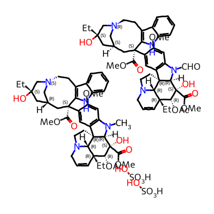 CC[C@]1(O)C[C@@H]2C[N@@](CCc3c([nH]c4ccccc34)[C@@](C(=O)OC)(c3cc4c(cc3OC)N(C)[C@H]3[C@@](O)(C(=O)OC)[C@H](OC(C)=O)[C@]5(CC)C=CCN6CC[C@]43[C@@H]65)C2)C1.CC[C@]1(O)C[C@H]2C[N@](CCc3c([nH]c4ccccc34)[C@@](C(=O)OC)(c3cc4c(cc3OC)N(C=O)[C@H]3[C@@](O)(C(=O)OC)[C@H](OC(C)=O)[C@]5(CC)C=CCN6CC[C@]43[C@@H]65)C2)C1.O=S(=O)(O)O.O=S(=O)(O)O